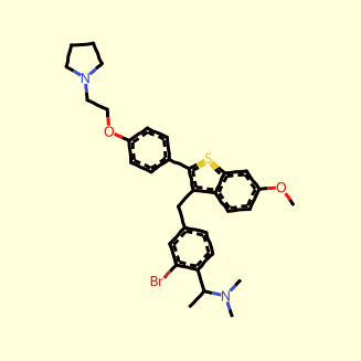 COc1ccc2c(Cc3ccc(C(C)N(C)C)c(Br)c3)c(-c3ccc(OCCN4CCCC4)cc3)sc2c1